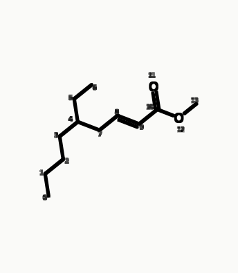 CCCCC(CC)CC=CC(=O)OC